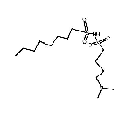 CCCCCCCCS(=O)(=O)NS(=O)(=O)CCCCN(C)C